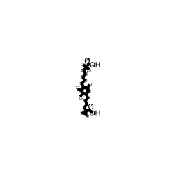 Cc1cc(CCCCC2(C(=O)O)CC2)c(C)c(C)c1CCCCCC(C)(C)C(=O)O